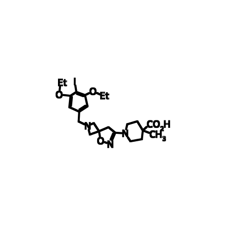 CCOc1cc(CN2CC3(CC(N4CCC(C)(C(=O)O)CC4)=NO3)C2)cc(OCC)c1I